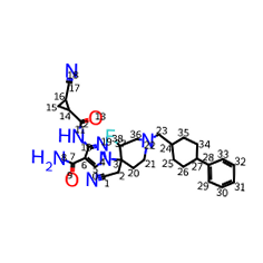 N#CCC1(n2cc(C(N)=O)c(NC(=O)C3CC3C#N)n2)CCN(CC2CCC(c3ccccc3)CC2)CC1F